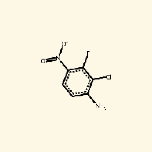 Nc1ccc([N+](=O)[O-])c(F)c1Cl